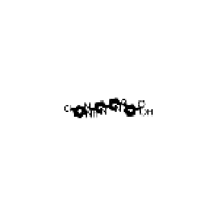 O=C(O)c1cccc(Oc2ccc(-c3ccc(-c4nc5cc(Cl)ccc5[nH]4)cn3)cn2)c1